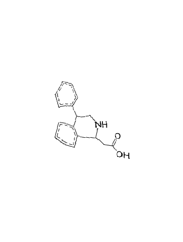 O=C(O)CC1NCC(c2ccccc2)c2ccccc21